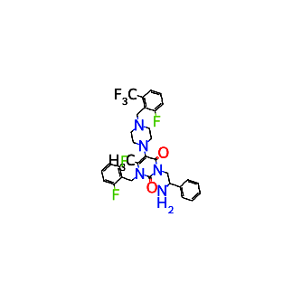 Cc1c(N2CCN(Cc3c(F)cccc3C(F)(F)F)CC2)c(=O)n(C[C@H](N)c2ccccc2)c(=O)n1Cc1c(F)cccc1F